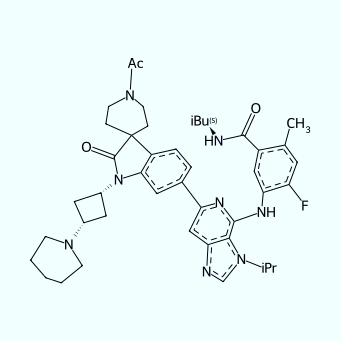 CC[C@H](C)NC(=O)c1cc(Nc2nc(-c3ccc4c(c3)N([C@H]3C[C@@H](N5CCCCC5)C3)C(=O)C43CCN(C(C)=O)CC3)cc3ncn(C(C)C)c23)c(F)cc1C